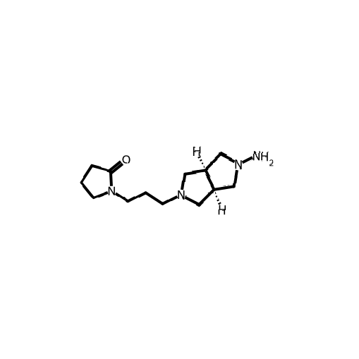 NN1C[C@@H]2CN(CCCN3CCCC3=O)C[C@@H]2C1